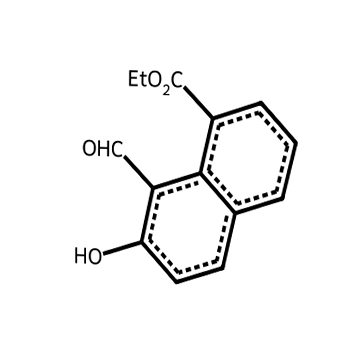 CCOC(=O)c1cccc2ccc(O)c(C=O)c12